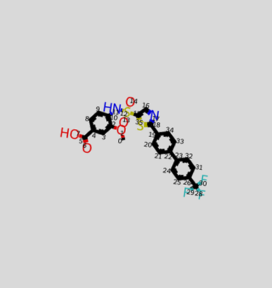 COc1cc(C(=O)O)ccc1NS(=O)(=O)c1cnc(-c2ccc(-c3ccc(C(F)(F)F)cc3)cc2)s1